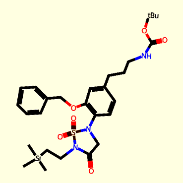 CC(C)(C)OC(=O)NCCCc1ccc(N2CC(=O)N(CC[Si](C)(C)C)S2(=O)=O)c(OCc2ccccc2)c1